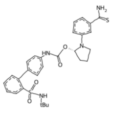 CC(C)(C)NS(=O)(=O)c1ccccc1-c1ccc(NC(=O)O[C@H]2CCCN2c2cccc(C(N)=S)c2)cc1